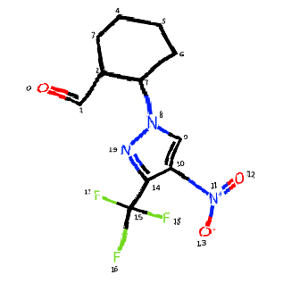 O=CC1CCCCC1n1cc([N+](=O)[O-])c(C(F)(F)F)n1